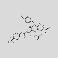 COc1ccc(C[C@H](NC(=O)[C@H](C)NC(=O)CN2CCC(C(F)(F)F)CC2)C(=O)N[C@@H](CC2CCCC2)C(=O)[C@@]2(C)CO2)cc1